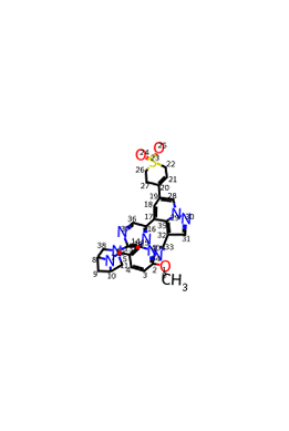 COc1ccc(CN2C3CC2CN(c2cnc(-c4cc(C5=CCS(=O)(=O)CC5)cn5ncc(C#N)c45)cn2)C3)cn1